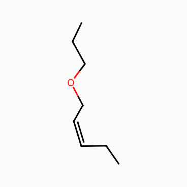 CC/C=C\COCCC